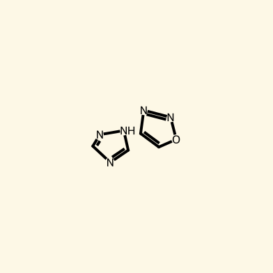 c1conn1.c1nc[nH]n1